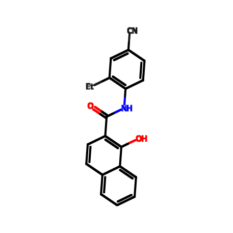 CCc1cc(C#N)ccc1NC(=O)c1ccc2ccccc2c1O